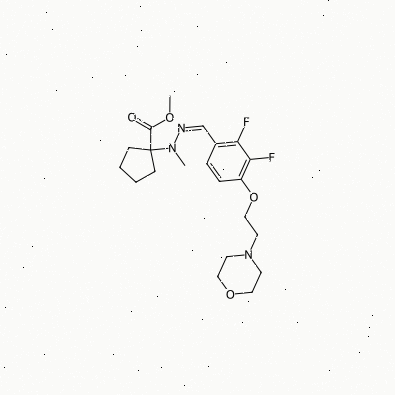 COC(=O)C1(N(C)/N=C\c2ccc(OCCN3CCOCC3)c(F)c2F)CCCC1